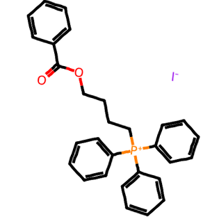 O=C(OCCCC[P+](c1ccccc1)(c1ccccc1)c1ccccc1)c1ccccc1.[I-]